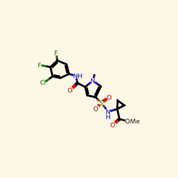 COC(=O)C1(NS(=O)(=O)c2cc(C(=O)Nc3cc(F)c(F)c(Cl)c3)n(C)c2)CC1